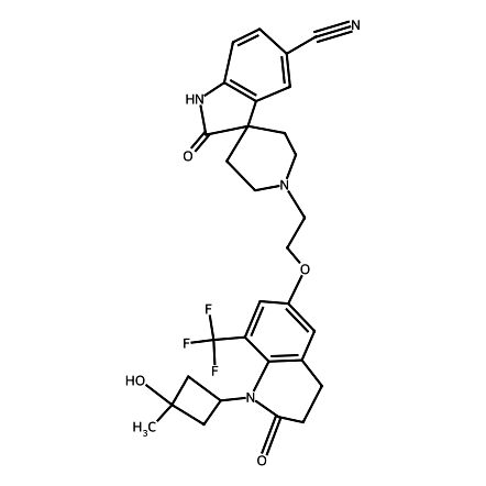 CC1(O)CC(N2C(=O)CCc3cc(OCCN4CCC5(CC4)C(=O)Nc4ccc(C#N)cc45)cc(C(F)(F)F)c32)C1